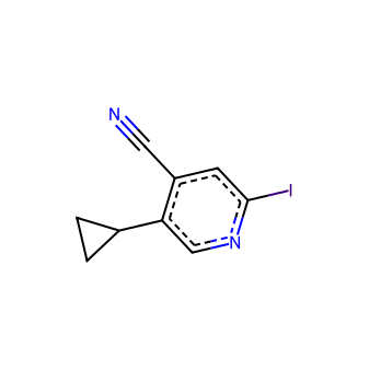 N#Cc1cc(I)ncc1C1CC1